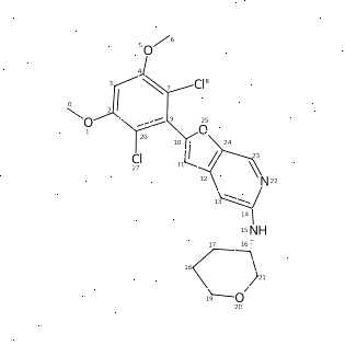 COc1cc(OC)c(Cl)c(-c2cc3cc(N[C@H]4CCCOC4)ncc3o2)c1Cl